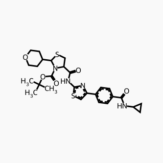 CC(C)(C)OC(=O)N1C(C(=O)Nc2nc(-c3ccc(C(=O)NC4CC4)cc3)cs2)CSC1C1CCOCC1